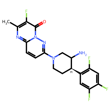 Cc1nc2ccc(N3CC[C@H](c4cc(F)c(F)cc4F)C(N)C3)nn2c(=O)c1F